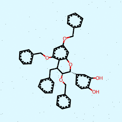 Oc1ccc([C@H]2Oc3cc(OCc4ccccc4)cc(OCc4ccccc4)c3C(Cc3ccccc3)[C@@H]2OCc2ccccc2)cc1O